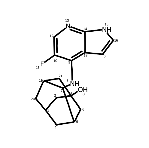 OC12CC3CC(C1)C(Nc1c(F)cnc4[nH]ccc14)C(C3)C2